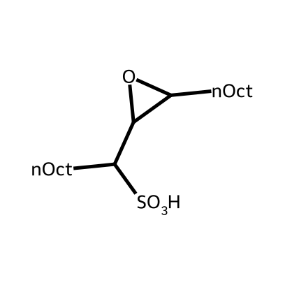 CCCCCCCCC1OC1C(CCCCCCCC)S(=O)(=O)O